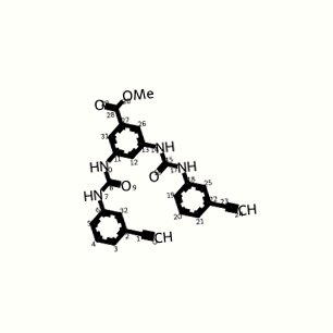 C#Cc1cccc(NC(=O)Nc2cc(NC(=O)Nc3cccc(C#C)c3)cc(C(=O)OC)c2)c1